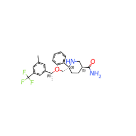 Cc1cc([C@@H](C)OC[C@@]2(c3ccccc3)CC[C@H](C(N)=O)CN2)cc(C(F)(F)F)c1